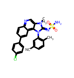 Cc1ccc(C#N)cc1-n1/c(=N/S(N)(=O)=O)n(C)c2cnc3ccc(-c4ccc(Cl)cc4)cc3c21